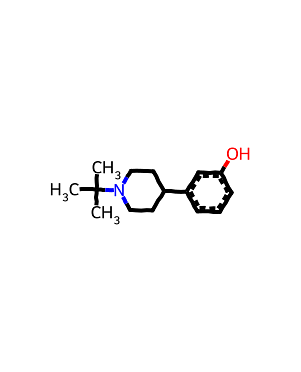 CC(C)(C)N1CCC(c2cccc(O)c2)CC1